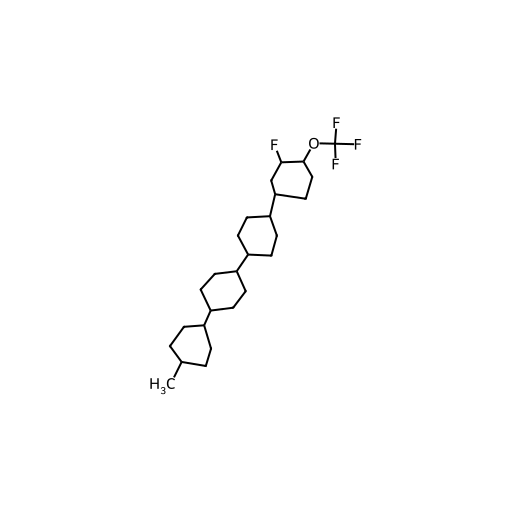 CC1CCC(C2CCC(C3CCC(C4CCC(OC(F)(F)F)C(F)C4)CC3)CC2)CC1